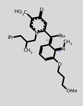 CCC(C)/C(=C1/C=CC=C(OCCCOC)/C1=N/C)c1cc(=O)c(C(=O)O)cn1CC(C)CC(C)C